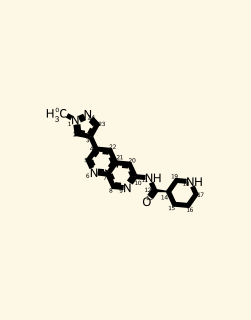 Cn1cc(-c2cnc3cnc(NC(=O)[C@@H]4CCCNC4)cc3c2)cn1